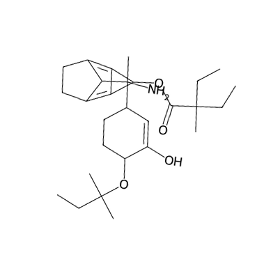 CCC(C)(C)OC1CCC(C(C)(N)C2C3=C4C(=C2CC3)C4OC(=O)C(C)(CC)CC)C=C1O